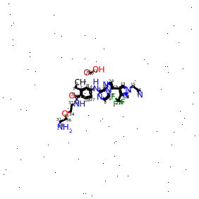 CCc1cc(Nc2nccn3c(-c4cn(CC#N)nc4C(F)(F)F)cnc23)ccc1C(=O)NCCOCCN.O=CO